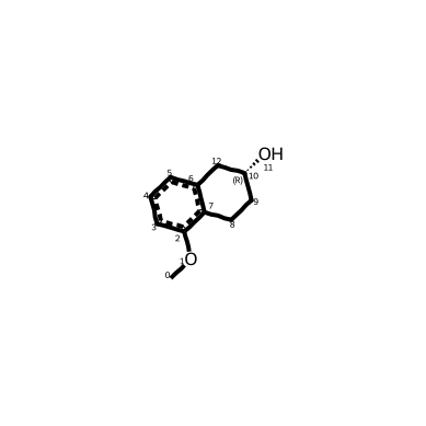 COc1cccc2c1CC[C@@H](O)C2